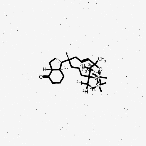 [2H]C([2H])([2H])C(CCC[C@@](C)(CC=CC(O[Si](C)(C)C)(C(F)(F)F)C(F)(F)F)[C@H]1CC[C@H]2C(=O)CCC[C@]12C)(O[Si](C)(C)C)C([2H])([2H])[2H]